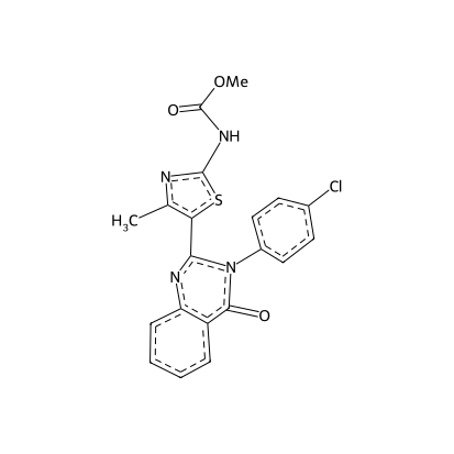 COC(=O)Nc1nc(C)c(-c2nc3ccccc3c(=O)n2-c2ccc(Cl)cc2)s1